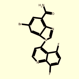 NC(=O)c1cc(Br)cc2c1ncn2-c1ccnc2c(F)ccc(F)c12